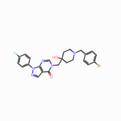 O=c1c2cnn(-c3ccc(F)cc3)c2ncn1CC1(O)CCN(Cc2ccc(Br)cc2)CC1